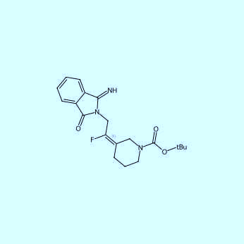 CC(C)(C)OC(=O)N1CCC/C(=C(\F)CN2C(=N)c3ccccc3C2=O)C1